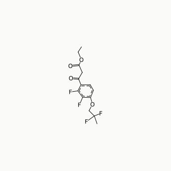 CCOC(=O)CC(=O)c1ccc(OCC(C)(F)F)c(F)c1F